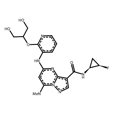 CNc1cc(Nc2cccnc2OC(CO)CO)nc2c(C(=O)N[C@H]3C[C@H]3F)cnn12